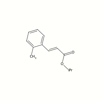 Cc1ccccc1C=CC(=O)OC(C)C